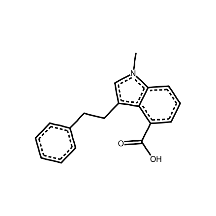 Cn1cc(CCc2ccccc2)c2c(C(=O)O)cccc21